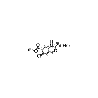 CC(C)OC(=O)c1cc(NC(=O)CC=O)c(F)cc1Cl